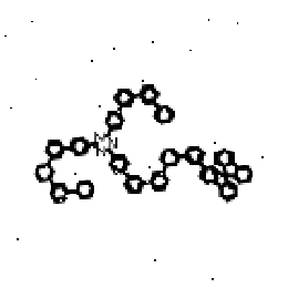 c1ccc(-c2cccc(-c3cccc(-c4ccc(-c5nc(-c6ccc(-c7cccc(-c8cccc(-c9cccc(-c%10ccccc%10)c9)c8)c7)cc6)nc(-c6ccc(-c7cccc(-c8cccc(-c9cccc(-c%10cccc(-c%11ccc%12c(c%11)C%11(c%13ccccc%13-c%13ccccc%13%11)c%11ccccc%11-%12)c%10)c9)c8)c7)cc6)n5)cc4)c3)c2)cc1